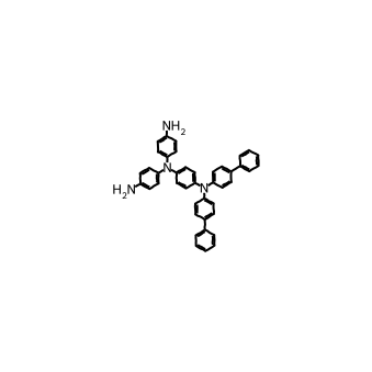 Nc1ccc(N(c2ccc(N)cc2)c2ccc(N(c3ccc(-c4ccccc4)cc3)c3ccc(-c4ccccc4)cc3)cc2)cc1